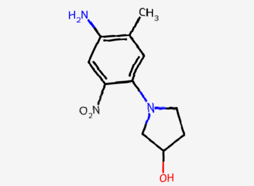 Cc1cc(N2CCC(O)C2)c([N+](=O)[O-])cc1N